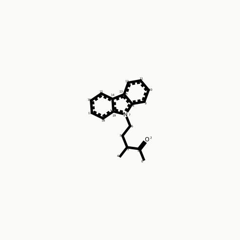 CC(=O)C(C)CCn1c2ccccc2c2ccccc21